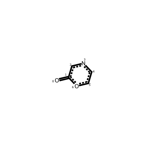 O=c1cnc[c]o1